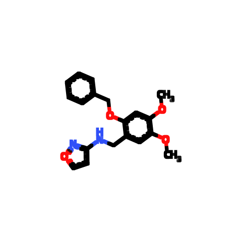 COc1cc(CNc2ccon2)c(OCc2ccccc2)cc1OC